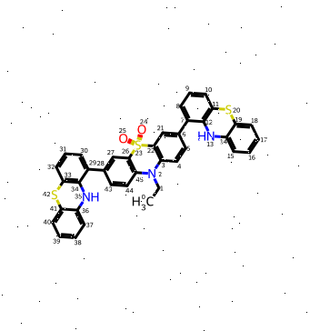 CCN1c2ccc(-c3cccc4c3Nc3ccccc3S4)cc2S(=O)(=O)c2cc(-c3cccc4c3Nc3ccccc3S4)ccc21